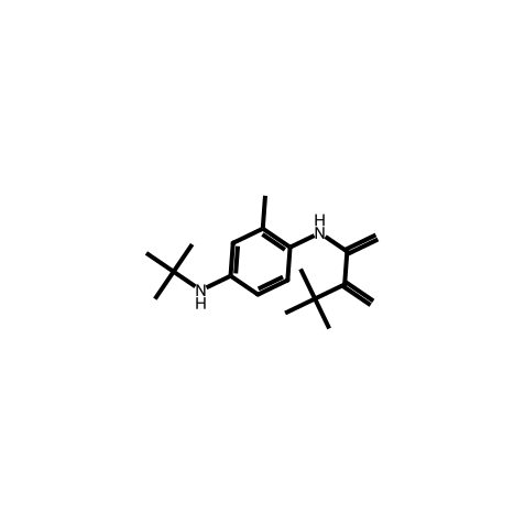 C=C(Nc1ccc(NC(C)(C)C)cc1C)C(=C)C(C)(C)C